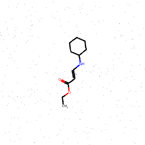 CCOC(=O)/C=C/NC1CCCCC1